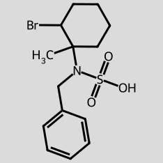 CC1(N(Cc2ccccc2)S(=O)(=O)O)CCCCC1Br